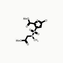 COC(=O)CN(C)S(=O)(=O)c1cc(Cl)sc1C(=O)OC